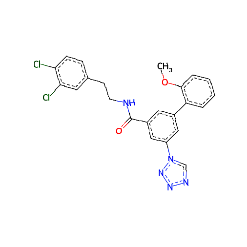 COc1ccccc1-c1cc(C(=O)NCCc2ccc(Cl)c(Cl)c2)cc(-n2cnnn2)c1